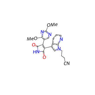 COc1ncc(C2=C(c3cn(CCCC#N)c4ncccc34)C(=O)NC2=O)c(OC)n1